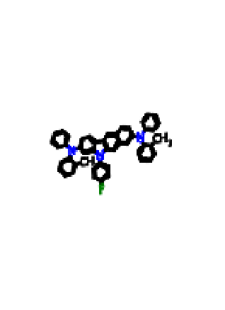 Cc1ccccc1N(c1ccccc1)c1ccc2cc3c4ccc(N(c5ccccc5)c5ccccc5C)cc4n(-c4ccc(F)cc4)c3cc2c1